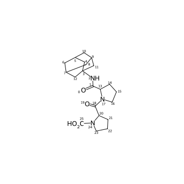 O=C(NC12CC3CC(CC(C3)C1)C2)C1CCCN1C(=O)C1CCCN1C(=O)O